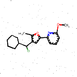 COc1cccc(-c2cc(C(Cl)C3CCCCC3)c(C)o2)n1